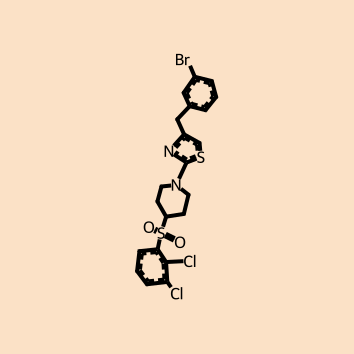 O=S(=O)(c1cccc(Cl)c1Cl)C1CCN(c2nc(Cc3cccc(Br)c3)cs2)CC1